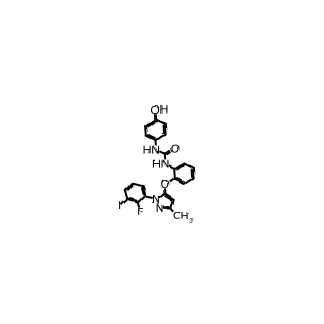 Cc1cc(Oc2ccccc2NC(=O)Nc2ccc(O)cc2)n(-c2cccc(I)c2F)n1